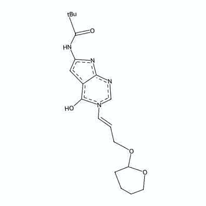 CC(C)(C)C(=O)Nc1cc2c(O)n(C=CCOC3CCCCO3)cnc-2n1